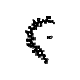 Cl.Cn1cc(NC(=O)c2cc(NC(=O)c3cc(NC(=O)c4ccc(SCCCl)cc4)cn3C)cn2C)cc1C(=O)NCCC(=N)N